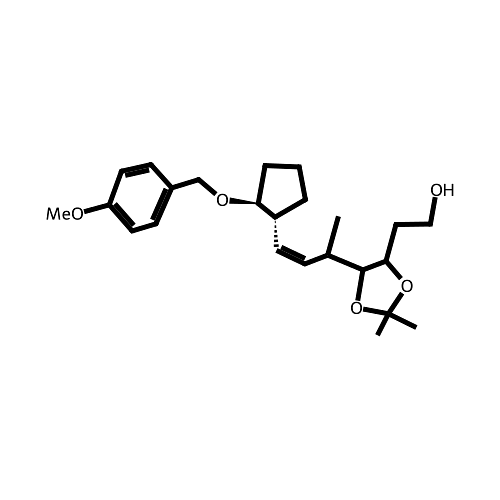 COc1ccc(CO[C@H]2CCC[C@@H]2/C=C\C(C)C2OC(C)(C)OC2CCO)cc1